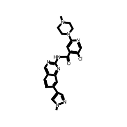 CN1CCN(c2cc(C(=O)Nc3ncc4ccc(-c5cnn(C)c5)cc4n3)c(Cl)cn2)CC1